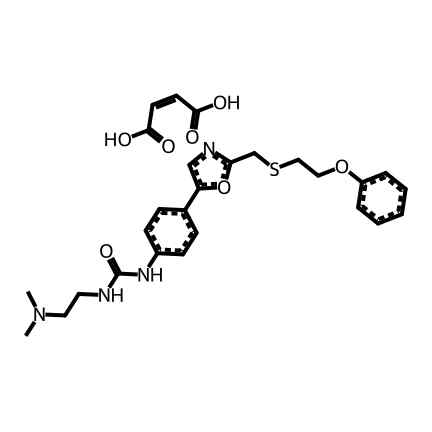 CN(C)CCNC(=O)Nc1ccc(-c2cnc(CSCCOc3ccccc3)o2)cc1.O=C(O)/C=C\C(=O)O